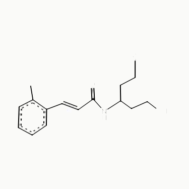 CCCC(CCC)NC(=O)/C=C/c1ccccc1F